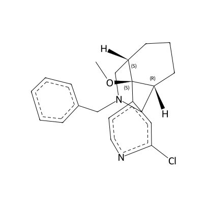 CO[C@]1(c2ccnc(Cl)c2)[C@@H]2CCC[C@H]1CN(Cc1ccccc1)C2